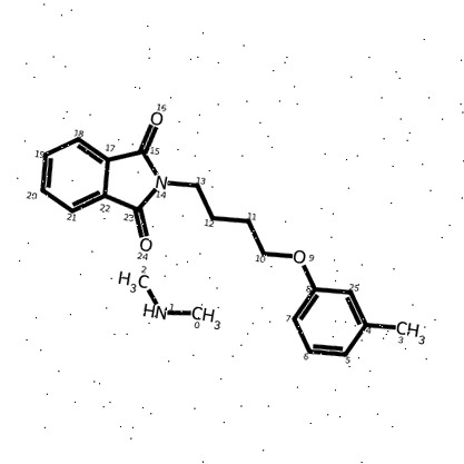 CNC.Cc1cccc(OCCCCN2C(=O)c3ccccc3C2=O)c1